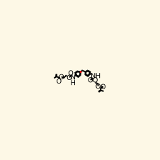 C=C(C)C(=O)OCCOC(=O)Nc1ccc(Cc2ccc(NC(=O)OCCOC(=O)C(=C)C)cc2)cc1